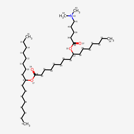 CCCCCCCCC(CCCCCCCC)OC(=O)CCCCCCCC(CCCCCCC)OC(=O)CCCCN(C)C